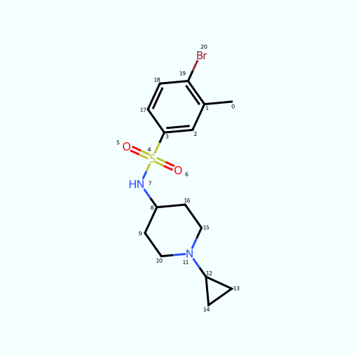 Cc1cc(S(=O)(=O)NC2CCN(C3CC3)CC2)ccc1Br